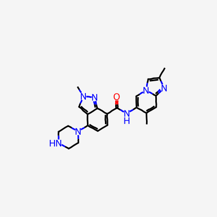 Cc1cn2cc(NC(=O)c3ccc(N4CCNCC4)c4cn(C)nc34)c(C)cc2n1